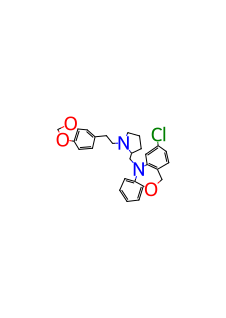 Clc1ccc2c(c1)N(CC1CCCN1CCc1ccc3c(c1)OCO3)c1ccccc1OC2